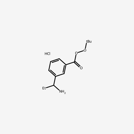 CCC(N)c1cccc(C(=O)OOC(C)(C)C)c1.Cl